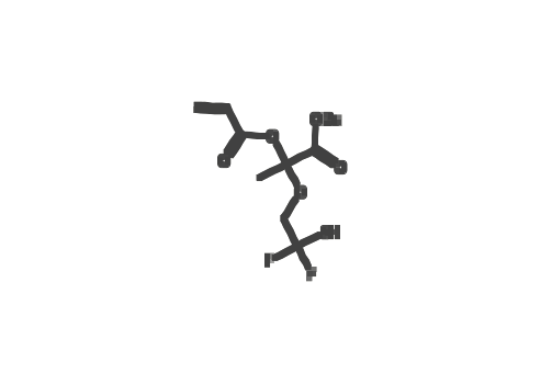 C=CC(=O)OC(C)(OCC(F)(F)S)C(=O)OCC(C)C